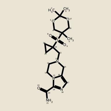 CC1(C)OCC(C)(S(=O)(=O)C2(CN3CCn4c(cnc4C(N)=O)C3)CC2)CO1